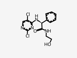 O=C(NCCO)[C@@H](Nc1nc(Cl)ncc1Cl)c1ccccc1